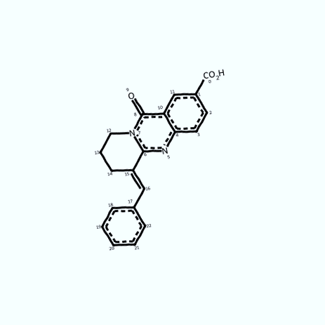 O=C(O)c1ccc2nc3n(c(=O)c2c1)CCC/C3=C\c1ccccc1